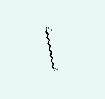 C=CCCCC=CCCCCCC=CC